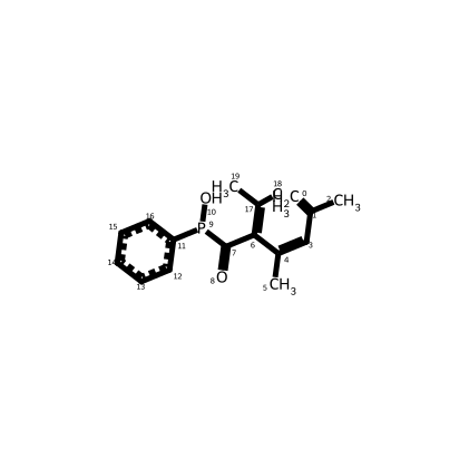 C=C(C)/C=C(/C)C(C(=O)P(O)c1ccccc1)=C(C)C